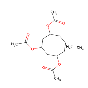 C.C.CC(=O)O[C]1CCCC(OC(C)=O)CC(OC(C)=O)C1